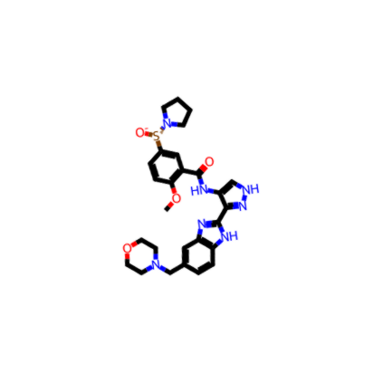 COc1ccc([S+]([O-])N2CCCC2)cc1C(=O)Nc1c[nH]nc1-c1nc2cc(CN3CCOCC3)ccc2[nH]1